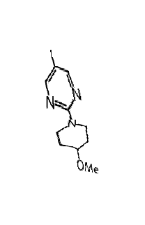 COC1CCN(c2ncc(I)cn2)CC1